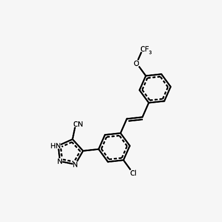 N#Cc1[nH]nnc1-c1cc(Cl)cc(C=Cc2cccc(OC(F)(F)F)c2)c1